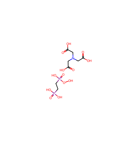 O=C(O)CN(CC(=O)O)CC(=O)O.O=P(O)(O)CCP(=O)(O)OO